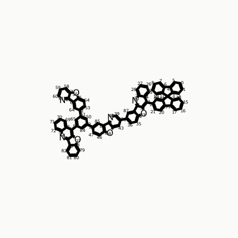 c1ccc2c(c1)-c1ccccc1C21c2ccccc2-c2ccc(-c3c4ccccc4nc4c3oc3ccc(-c5cnc6c(c5)oc5ccc(-c7cc(-c8ccc9oc%10cccnc%10c9c8)cc(-c8c9ccccc9nc9c8oc8ccccc89)c7)cc56)cc34)cc21